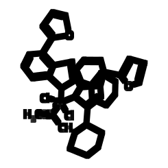 C[SiH](C)[Zr]([Cl])([Cl])([CH]1C(C2CCCCC2)=Cc2c(-c3ccco3)cccc21)[CH]1C(C2CCCCC2)=Cc2c(-c3ccco3)cccc21